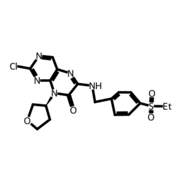 CCS(=O)(=O)c1ccc(CNc2nc3cnc(Cl)nc3n([C@H]3CCOC3)c2=O)cc1